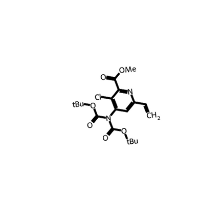 C=Cc1cc(N(C(=O)OC(C)(C)C)C(=O)OC(C)(C)C)c(Cl)c(C(=O)OC)n1